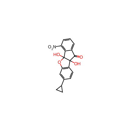 O=C1c2cccc([N+](=O)[O-])c2C2(O)Oc3cc(C4CC4)ccc3C12O